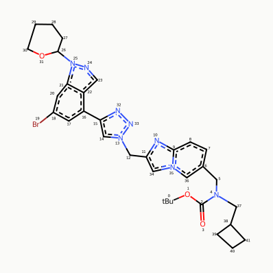 CC(C)(C)OC(=O)N(Cc1ccc2nc(Cn3cc(-c4cc(Br)cc5c4cnn5C4CCCCO4)nn3)cn2c1)CC1CCC1